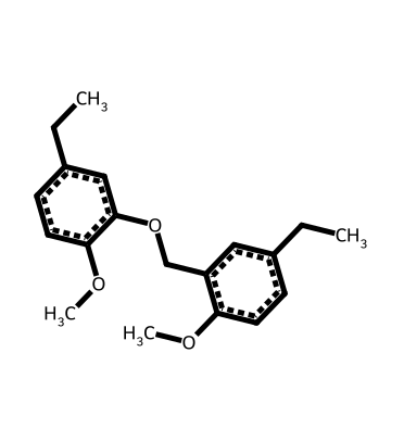 CCc1ccc(OC)c(COc2cc(CC)ccc2OC)c1